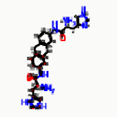 N[C@H](Cc1c[nH]cn1)C(=O)Nc1ccc2c(c1)C1c3cc(NC(=O)[C@H](N)Cc4c[nH]cn4)ccc3C2c2ccc(NC(=O)[C@H](N)Cc3cnc[nH]3)cc21